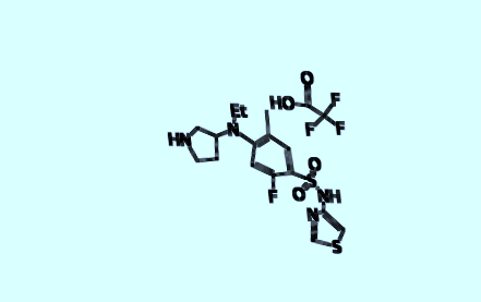 CCN(c1cc(F)c(S(=O)(=O)Nc2cscn2)cc1C)C1CCNC1.O=C(O)C(F)(F)F